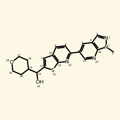 Cn1ncc2cc(-c3ccc4cc(C(O)C5CCOCC5)sc4n3)cnc21